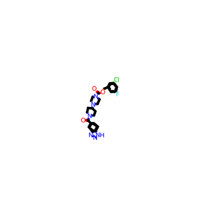 O=C(OCc1cc(F)cc(Cl)c1)N1CCN(C2CCN(C(=O)c3ccc4[nH]nnc4c3)CC2)CC1